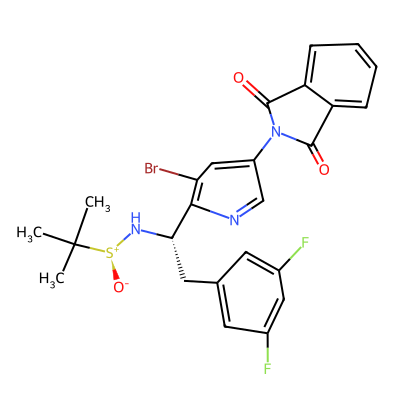 CC(C)(C)[S@+]([O-])N[C@@H](Cc1cc(F)cc(F)c1)c1ncc(N2C(=O)c3ccccc3C2=O)cc1Br